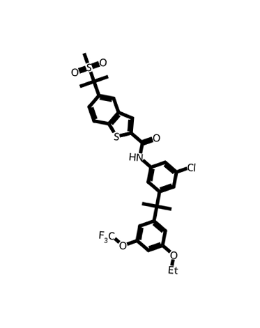 CCOc1cc(OC(F)(F)F)cc(C(C)(C)c2cc(Cl)cc(NC(=O)c3cc4cc(C(C)(C)S(C)(=O)=O)ccc4s3)c2)c1